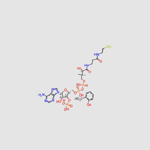 CC(C)(COP(=O)(O)OP(=O)(O)OC[C@H]1O[C@@H](n2cnc3c(N)ncnc32)[C@H](O)[C@@H]1OP(=O)(O)O)[C@@H](O)C(=O)NCCC(=O)NCCS.O=C(O)c1ccccc1O